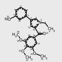 CCn1cc(-c2cccc(O)c2)cc1C(=O)c1cc(OC)c(OC)c(OC)c1